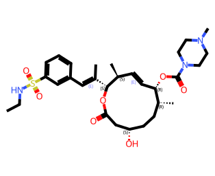 CCNS(=O)(=O)c1cccc(/C=C(\C)[C@H]2OC(=O)C[C@@H](O)CC[C@@H](C)[C@@H](OC(=O)N3CCN(C)CC3)/C=C/[C@@H]2C)c1